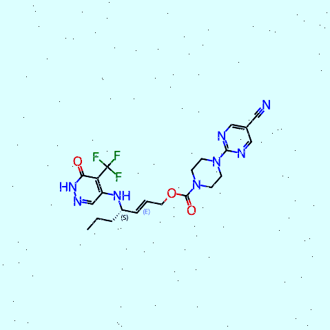 CCC[C@@H](/C=C/COC(=O)N1CCN(c2ncc(C#N)cn2)CC1)Nc1cn[nH]c(=O)c1C(F)(F)F